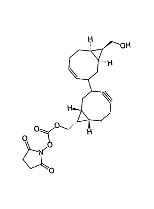 O=C(OC[C@H]1[C@H]2CCC#CC(C3/C=C\CC[C@H]4[C@@H](CO)[C@H]4C3)C[C@H]21)ON1C(=O)CCC1=O